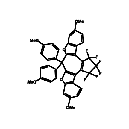 COc1ccc(C2(c3ccc(OC)cc3)c3oc4cc(OC)ccc4c3C3=C(c4c2oc2cc(OC)ccc42)C(F)(F)C(F)(F)C3(F)F)cc1